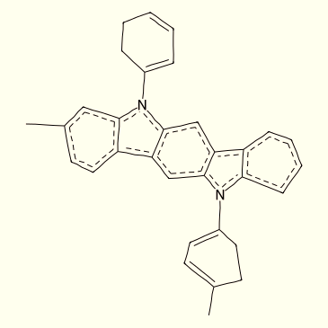 CC1=CC=C(n2c3ccccc3c3cc4c(cc32)c2ccc(C)cc2n4C2=CC=CCC2)CC1